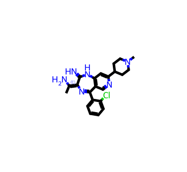 C/C(N)=C1\N=C(c2ccccc2Cl)c2cnc(C3CCN(C)CC3)cc2NC1=N